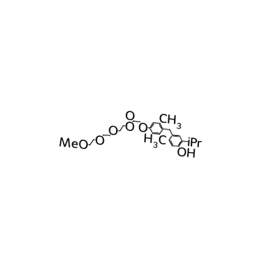 COCCOCCOCCOC(=O)COc1cc(C)c(Cc2ccc(O)c(C(C)C)c2)c(C)c1